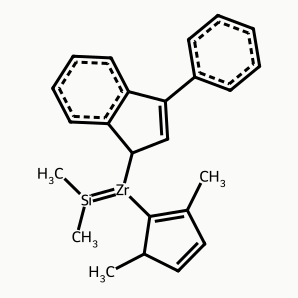 CC1=[C]([Zr]([CH]2C=C(c3ccccc3)c3ccccc32)=[Si](C)C)C(C)C=C1